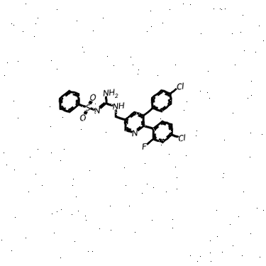 N/C(=N\S(=O)(=O)c1ccccc1)NCc1cnc(-c2ccc(Cl)cc2F)c(-c2ccc(Cl)cc2)c1